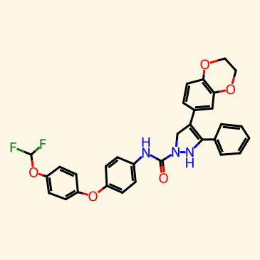 O=C(Nc1ccc(Oc2ccc(OC(F)F)cc2)cc1)N1CC(c2ccc3c(c2)OCCO3)=C(c2ccccc2)N1